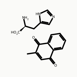 CC1=CC(=O)c2ccccc2C1=O.N[C@@H](Cc1cnc[nH]1)C(=O)O